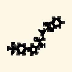 O=C(C[C@@H]1C[C@@H]1c1nc2ccccc2[nH]1)N[C@H]1CCN(c2ccc(C(F)(F)F)cc2)C1